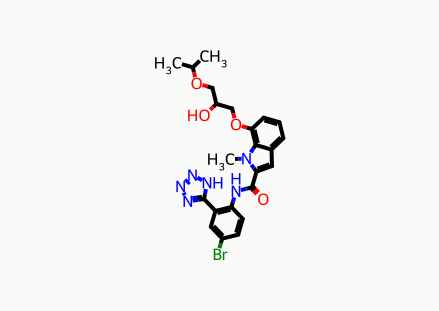 CC(C)OCC(O)COc1cccc2cc(C(=O)Nc3ccc(Br)cc3-c3nnn[nH]3)n(C)c12